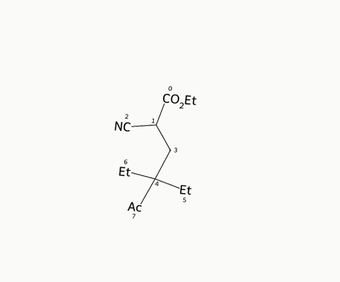 CCOC(=O)C(C#N)CC(CC)(CC)C(C)=O